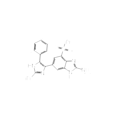 CC(C)c1nc(-c2cc(S(=O)(=O)C(C)C)c3nc(N)[nH]c3c2)c(-c2ccccc2)[nH]1